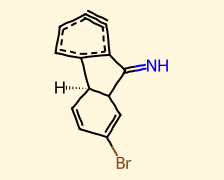 N=C1c2c#cccc2[C@@H]2C=CC(Br)=CC12